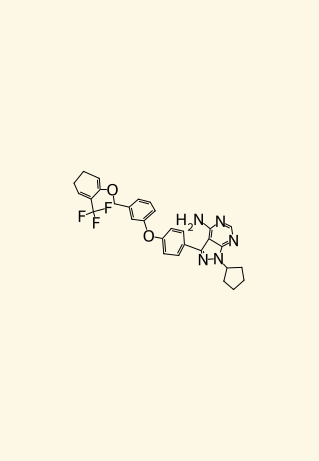 Nc1ncnc2c1c(-c1ccc(Oc3cccc(COC4=CCCC=C4C(F)(F)F)c3)cc1)nn2C1CCCC1